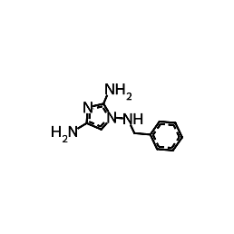 Nc1cn(NCc2ccccc2)c(N)n1